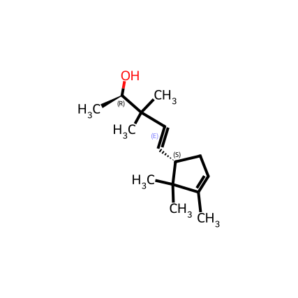 CC1=CC[C@@H](/C=C/C(C)(C)[C@@H](C)O)C1(C)C